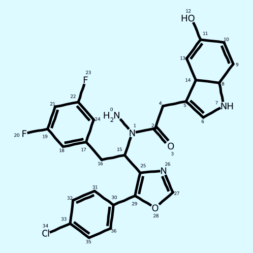 NN(C(=O)CC1=CNC2C=CC(O)=CC12)C(Cc1cc(F)cc(F)c1)c1ncoc1-c1ccc(Cl)cc1